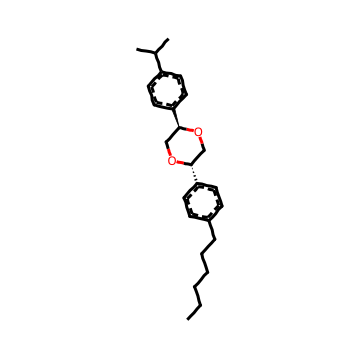 CCCCCCc1ccc([C@H]2CO[C@H](c3ccc(C(C)C)cc3)CO2)cc1